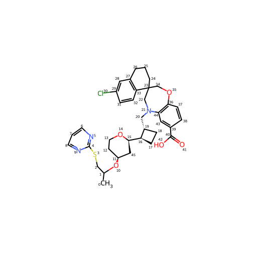 CC(CSc1ncccn1)O[C@H]1CCO[C@@H]([C@@H]2CC[C@H]2CN2CC3(CCCc4cc(Cl)ccc43)COc3ccc(C(=O)O)cc32)C1